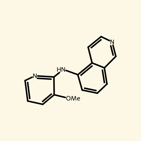 COc1cccnc1Nc1cccc2cnccc12